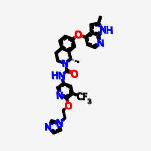 Cc1cc2c(Oc3ccc4c(c3)[C@H](C)N(C(=O)Nc3cnc(OCCn5ccnc5)c(C(F)(F)F)c3)CC4)ccnc2[nH]1